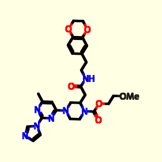 COCCOC(=O)N1CCN(c2cc(C)nc(-n3ccnc3)n2)CC1CC(=O)NCCc1ccc2c(c1)OCCO2